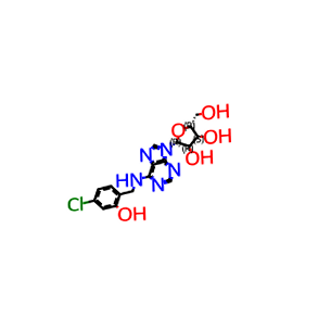 OC[C@H]1O[C@@H](n2cnc3c(NCc4ccc(Cl)cc4O)ncnc32)[C@H](O)[C@@H]1O